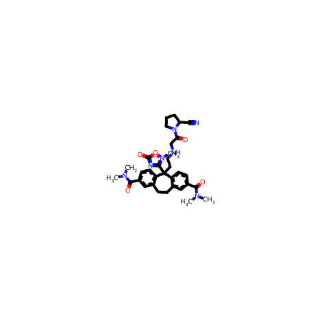 CN(C)C(=O)c1ccc2c(c1)CCc1cc(C(=O)N(C)C)ccc1C2(CCNCC(=O)N1CCCC1C#N)c1nc(=O)on1C